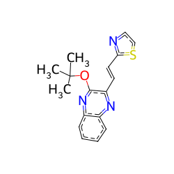 CC(C)(C)Oc1nc2ccccc2nc1/C=C/c1nccs1